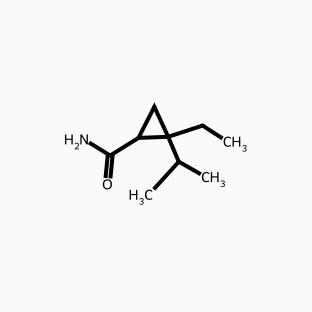 CCC1(C(C)C)CC1C(N)=O